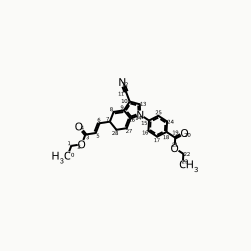 CCOC(=O)/C=C/C1C=c2c(C#N)cn(-c3ccc(C(=O)OCC)cc3)c2=CC1